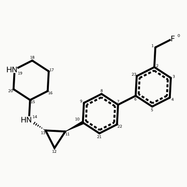 FCc1cccc(-c2ccc([C@H]3C[C@@H]3NC3CCCNC3)cc2)c1